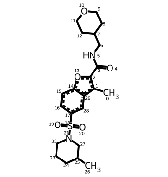 Cc1c(C(=O)NCC2CCOCC2)oc2ccc(S(=O)(=O)N3CCCC(C)C3)cc12